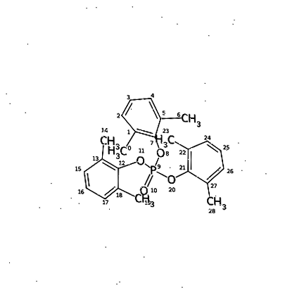 Cc1cccc(C)c1OP(=O)(Oc1c(C)cccc1C)Oc1c(C)cccc1C